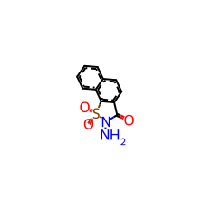 NN1C(=O)c2ccc3ccccc3c2S1(=O)=O